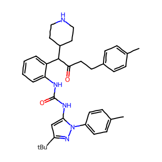 Cc1ccc(CCC(=O)C(c2ccccc2NC(=O)Nc2cc(C(C)(C)C)nn2-c2ccc(C)cc2)C2CCNCC2)cc1